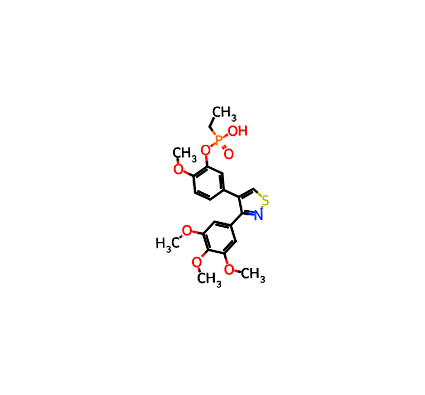 CCP(=O)(O)Oc1cc(-c2csnc2-c2cc(OC)c(OC)c(OC)c2)ccc1OC